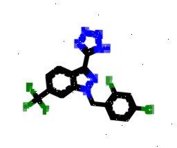 Fc1cc(Cl)ccc1Cn1nc(-c2nnn[nH]2)c2ccc(C(F)(F)F)cc21